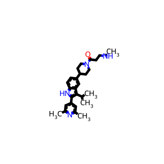 CNCCC(=O)N1CCC(c2ccc3[nH]c(-c4cc(C)nc(C)c4)c(C(C)C)c3c2)CC1